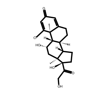 C[C@]12C(Cl)=CC(=O)C=C1CC[C@@H]1[C@@H]2[C@@H](O)C[C@@]2(C)[C@H]1CC[C@]2(O)C(=O)CO